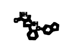 Cc1[nH]c(-c2ccccc2Oc2ccc3c(c2)CCC3)cc1C(N)=O